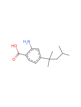 CC(C)CC(C)(C)c1ccc(C(=O)O)c(N)c1